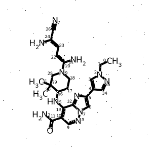 CCn1cc(-c2cn3ncc(C(N)=O)c(NC4CCN(/C(N)=C/C=C(\N)C#N)CC4(C)C)c3n2)cn1